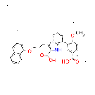 COc1ccc(C(=O)O)cc1-c1cccc2c(CCCOc3cccc4ccccc34)c(C(=O)O)[nH]c12